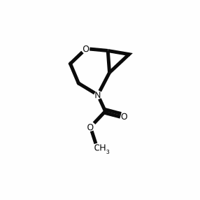 COC(=O)N1CCOC2CC21